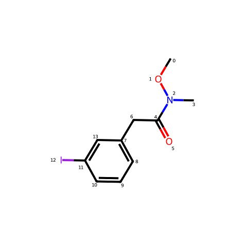 CON(C)C(=O)Cc1cccc(I)c1